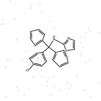 Clc1ccc(C(Nc2nccs2)(c2ccccc2)c2ccccc2)cc1